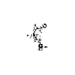 CC(C)(CCSSc1ccccn1)OCCC(C)(C)OCC(=O)NCCc1ccc(O)c(O)c1